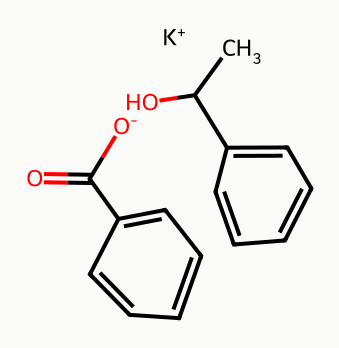 CC(O)c1ccccc1.O=C([O-])c1ccccc1.[K+]